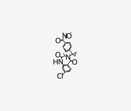 CON(C)C(=O)c1ccc(C2(N3C(=O)c4ccc(Cl)cc4NC(=O)C3C)CC2)cc1